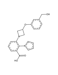 O=C(O)c1cccc(N2CC(Oc3cccc(CO)c3)C2)c1-n1cccc1